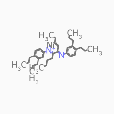 CCC=CC(=Nc1ccc(CCC)c(CCC)c1)C(CCCC)=[N+]([Ni])c1ccc(CCC)c(CCC)c1